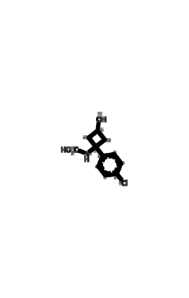 O=C(O)NC1(c2ccc(Cl)cc2)CC(O)C1